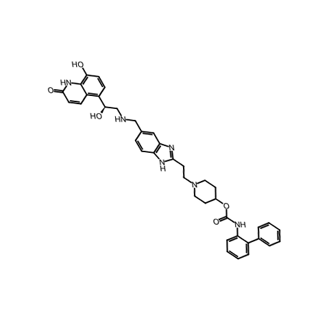 O=C(Nc1ccccc1-c1ccccc1)OC1CCN(CCc2nc3cc(CNC[C@@H](O)c4ccc(O)c5[nH]c(=O)ccc45)ccc3[nH]2)CC1